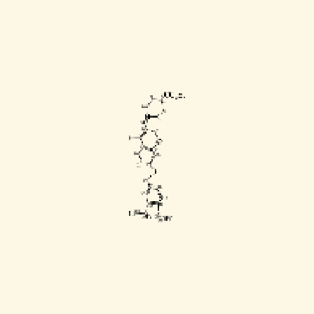 CCOC(=O)C1CCN(CC2=C(C)c3ccc(OCc4ccc5c(c4)c(Cl)nn5C(C)C)cc3OC2)CC1